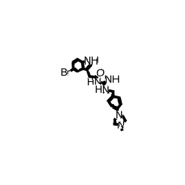 CN1CCN(c2ccc(CNC(=N)NC(=O)Cc3c[nH]c4ccc(Br)cc34)cc2)CC1